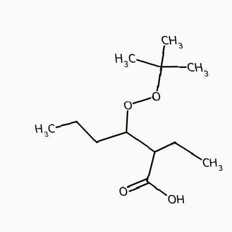 CCCC(OOC(C)(C)C)C(CC)C(=O)O